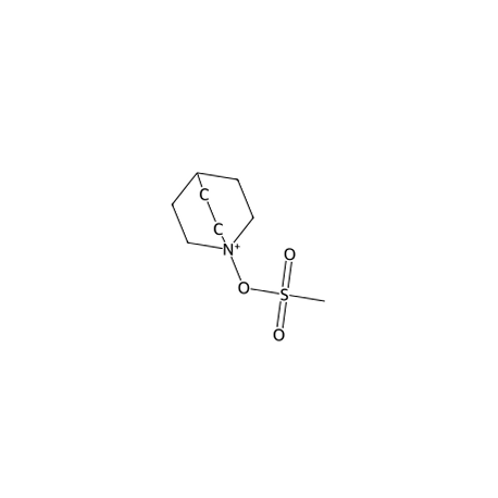 CS(=O)(=O)O[N+]12CCC(CC1)CC2